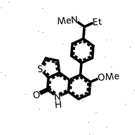 CCC(NC)c1ccc(-c2c(OC)ccc3[nH]c(=O)c4sccc4c23)cc1